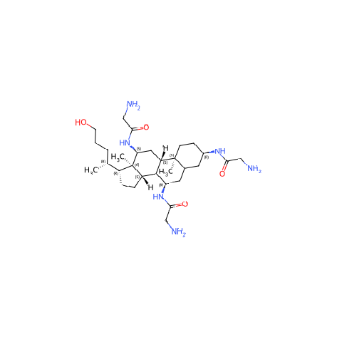 C[C@H](CCCO)[C@H]1CC[C@H]2C3[C@H](NC(=O)CN)CC4C[C@H](NC(=O)CN)CC[C@]4(C)[C@H]3C[C@H](NC(=O)CN)[C@]12C